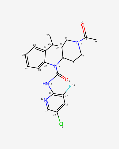 CC(=O)N1CCC(N(C(=O)Nc2ncc(Cl)cc2F)c2ccccc2C(C)C)CC1